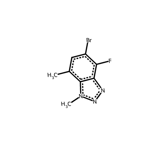 Cc1cc(Br)c(F)c2nnn(C)c12